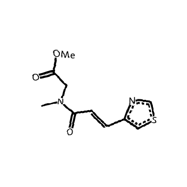 COC(=O)CN(C)C(=O)C=Cc1cscn1